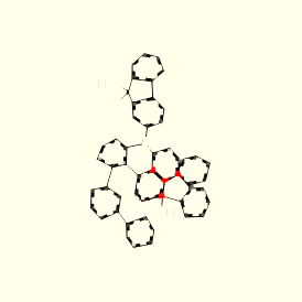 CC1(C)c2ccccc2-c2ccc(N(c3ccc4c(c3)C(C)(C)c3ccccc3-4)c3cccc(-c4cccc(-c5ccccc5)c4)c3-c3cccc(-c4ccccc4)c3)cc21